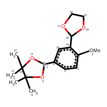 COc1ccc(B2OC(C)(C)C(C)(C)O2)cc1C1OCCO1